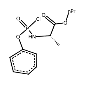 CCCOC(=O)[C@H](C)NP(=O)(Cl)Oc1ccccc1